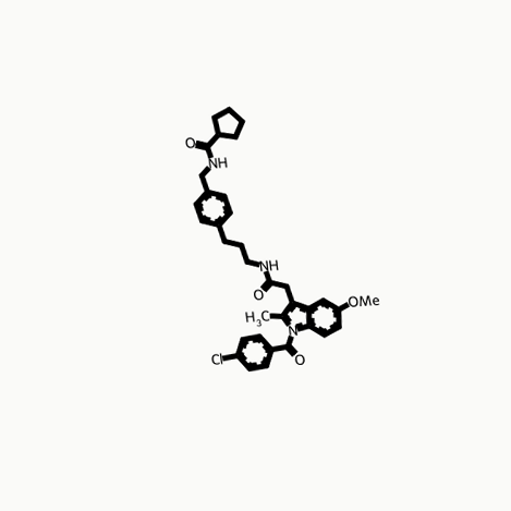 COc1ccc2c(c1)c(CC(=O)NCCCc1ccc(CNC(=O)C3CCCC3)cc1)c(C)n2C(=O)c1ccc(Cl)cc1